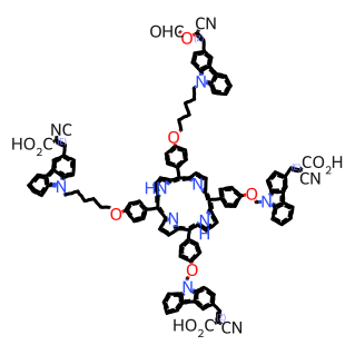 [C-]#[N+]/C(=C/c1ccc2c(c1)c1ccccc1n2CCCCCCOc1ccc(-c2c3nc(c(-c4ccc(OCn5c6ccccc6c6cc(/C=C(/C#N)C(=O)O)ccc65)cc4)c4ccc([nH]4)c(-c4ccc(OCn5c6ccccc6c6cc(/C=C(\C#N)C(=O)O)ccc65)cc4)c4nc(c(-c5ccc(OCCCCCCn6c7ccccc7c7cc(/C=C(/C#N)OC=O)ccc76)cc5)c5ccc2[nH]5)C=C4)C=C3)cc1)C(=O)O